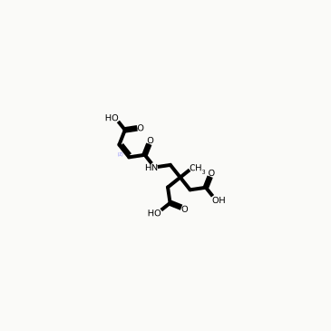 CC(CNC(=O)/C=C\C(=O)O)(CC(=O)O)CC(=O)O